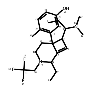 CCC(C1C=C2C(CC)N(CC(F)(F)F)CCC21c1cc(O)ccc1C)N(C)C